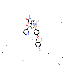 NC(=O)C1OC(c2cccnc2)CC1(NS(=O)(=O)c1ccc(OCc2ccc(Cl)cc2F)cc1)C(=O)O